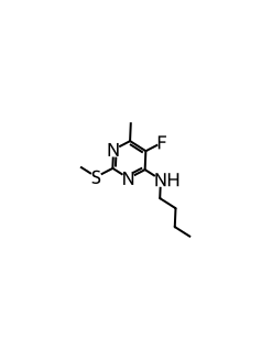 CCCCNc1nc(SC)nc(C)c1F